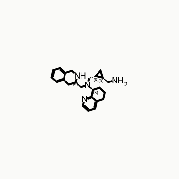 NC[C@@H]1C[C@H]1CN(C[C@H]1Cc2ccccc2CN1)[C@H]1CCCc2cccnc21